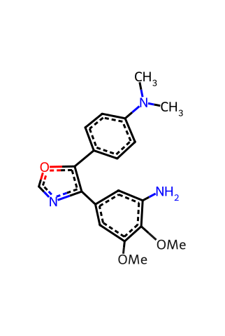 COc1cc(-c2ncoc2-c2ccc(N(C)C)cc2)cc(N)c1OC